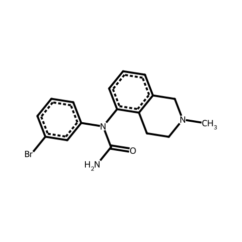 CN1CCc2c(cccc2N(C(N)=O)c2cccc(Br)c2)C1